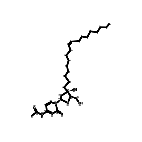 CCCCCCCC/C=C\CCCCCCCC[C@]1(O)C[C@H](n2ccc(NC(C)=O)nc2=O)O[C@@H]1CO